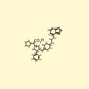 O=C(O)C(C1CCCC1)N1CC(CN2CCC(CCCc3cccc4nonc34)CC2)C(c2ccccc2)C1